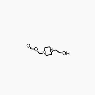 O=COCN1CCN(CCO)CC1